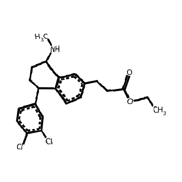 CCOC(=O)CCc1ccc2c(c1)C(NC)CCC2c1ccc(Cl)c(Cl)c1